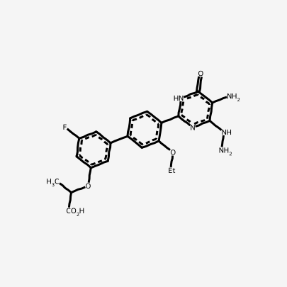 CCOc1cc(-c2cc(F)cc(OC(C)C(=O)O)c2)ccc1-c1nc(NN)c(N)c(=O)[nH]1